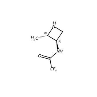 C[C@@H]1NC[C@H]1NC(=O)C(F)(F)F